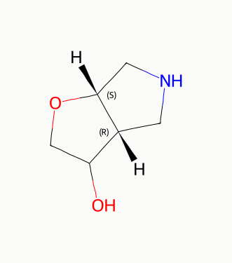 OC1CO[C@@H]2CNC[C@H]12